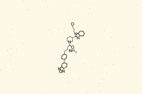 COCCCn1c([C@@H]2CCCN(C(=O)C[C@H](N)Cc3ccc(-c4ccc5nonc5c4)cc3)C2)nc2ccccc21